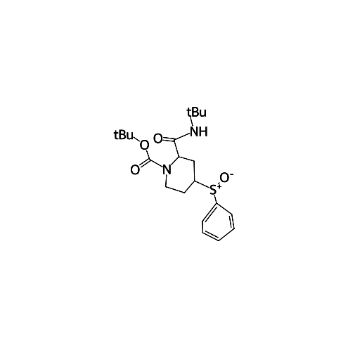 CC(C)(C)NC(=O)C1CC([S+]([O-])c2ccccc2)CCN1C(=O)OC(C)(C)C